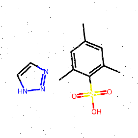 Cc1cc(C)c(S(=O)(=O)O)c(C)c1.c1c[nH]nn1